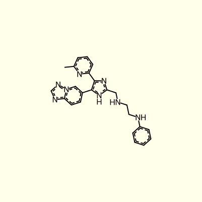 Cc1cccc(-c2nc(CNCCNc3ccccc3)[nH]c2-c2ccc3ncnn3c2)n1